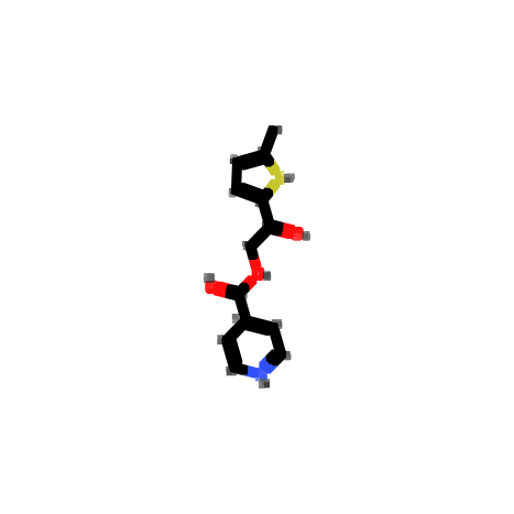 Cc1ccc(C(=O)COC(=O)c2ccncc2)s1